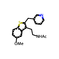 COc1ccc2sc(Cc3cccnc3)c(CCNC(C)=O)c2c1